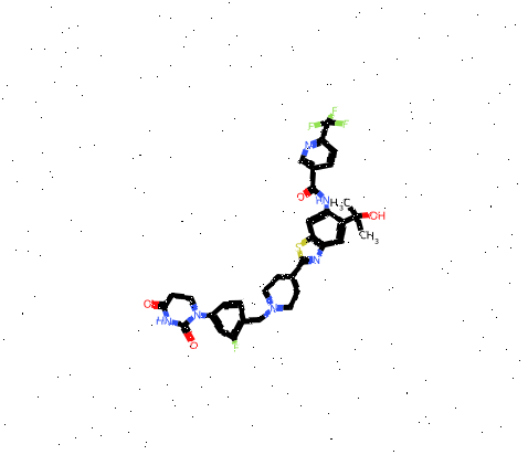 CC(C)(O)c1cc2nc(C3CCN(Cc4ccc(N5CCC(=O)NC5=O)cc4F)CC3)sc2cc1NC(=O)c1ccc(C(F)(F)F)nc1